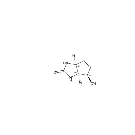 O=C1N[C@H]2[C@H](CS[C@H]2O)N1